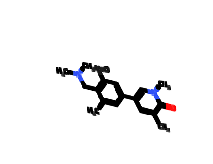 COc1cc(-c2cc(C)c(=O)n(C)c2)cc(C)c1CN(C)C